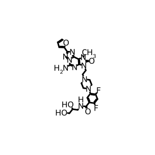 Cn1c(=O)n(CCN2CCN(c3cc(C(=O)NCC(O)CO)c(F)cc3F)CC2)c2nc(N)n3nc(-c4ccco4)nc3c21